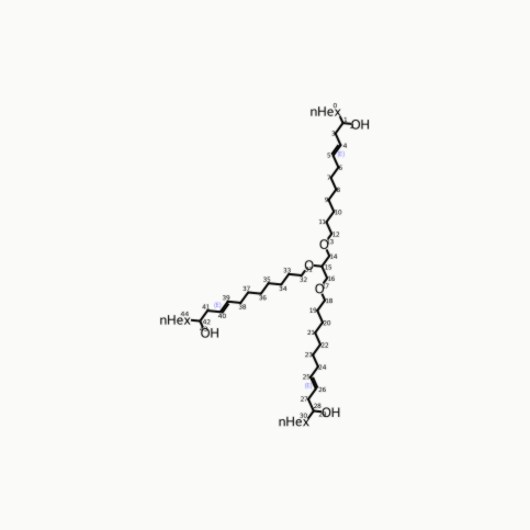 CCCCCCC(O)C/C=C/CCCCCCCOCC(COCCCCCCC/C=C/CC(O)CCCCCC)OCCCCCCC/C=C/CC(O)CCCCCC